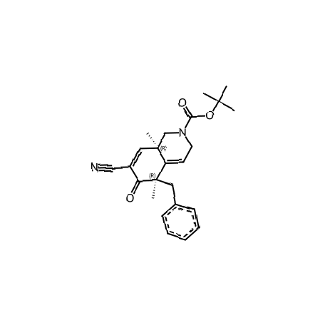 CC(C)(C)OC(=O)N1CC=C2[C@@](C)(Cc3ccccc3)C(=O)C(C#N)=C[C@@]2(C)C1